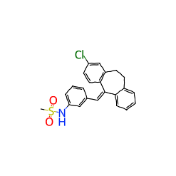 CS(=O)(=O)Nc1cccc(C=C2c3ccccc3CCc3cc(Cl)ccc32)c1